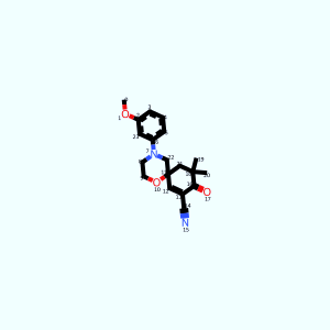 COc1cccc(N2CCOC3(C=C(C#N)C(=O)C(C)(C)C3)C2)c1